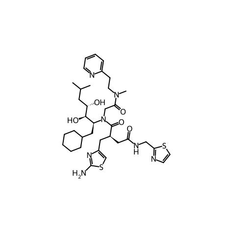 CC(C)C[C@H](O)[C@H](O)[C@H](CC1CCCCC1)N(CC(=O)N(C)CCc1ccccn1)C(=O)[C@@H](CC(=O)NCc1nccs1)Cc1csc(N)n1